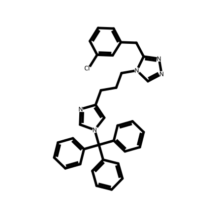 Clc1cccc(Cc2nncn2CCCc2cn(C(c3ccccc3)(c3ccccc3)c3ccccc3)cn2)c1